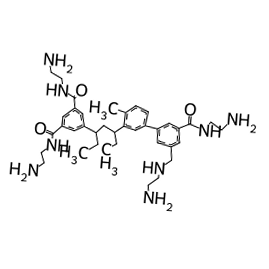 CCC(CC(CC)c1cc(-c2cc(CNCCN)cc(C(=O)NCCN)c2)ccc1C)c1cc(C(=O)NCCN)cc(C(=O)NCCN)c1